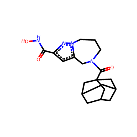 O=C(NO)c1cc2n(n1)CCCN(C(=O)C13CC4CC(CC(C4)C1)C3)C2